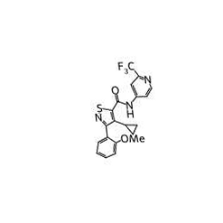 COc1ccccc1-c1nsc(C(=O)Nc2ccnc(C(F)(F)F)c2)c1C1CC1